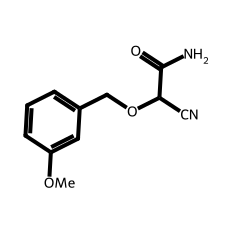 COc1cccc(COC(C#N)C(N)=O)c1